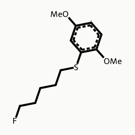 COc1[c]cc(OC)c(SCCCCCF)c1